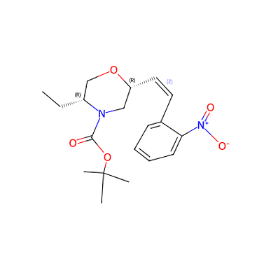 CC[C@@H]1CO[C@H](/C=C\c2ccccc2[N+](=O)[O-])CN1C(=O)OC(C)(C)C